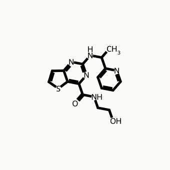 CC(Nc1nc(C(=O)NCCO)c2sccc2n1)c1ccccn1